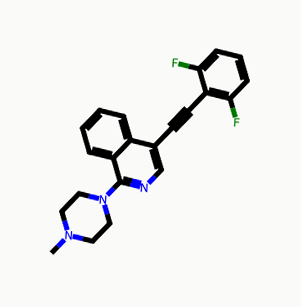 CN1CCN(c2ncc(C#Cc3c(F)cccc3F)c3ccccc23)CC1